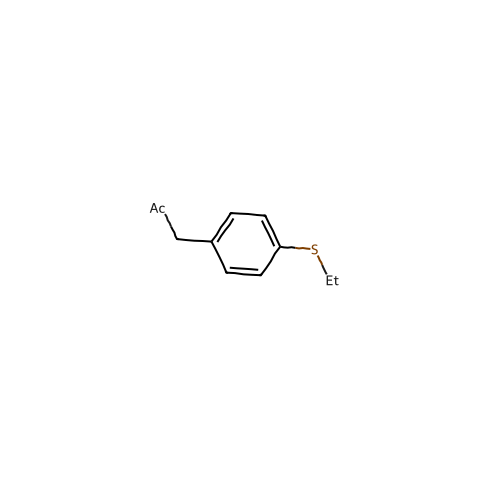 CCSc1ccc(CC(C)=O)cc1